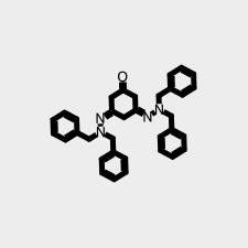 O=C1C/C(=N\N(Cc2ccccc2)Cc2ccccc2)C/C(=N\N(Cc2ccccc2)Cc2ccccc2)C1